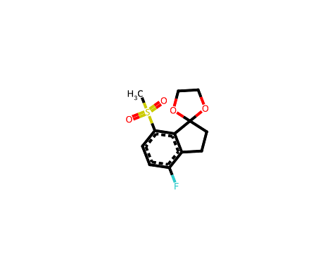 CS(=O)(=O)c1ccc(F)c2c1C1(CC2)OCCO1